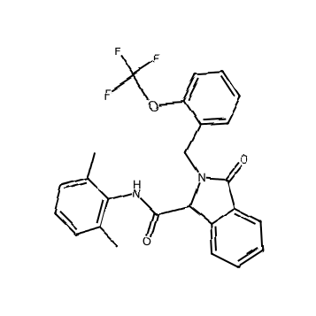 Cc1cccc(C)c1NC(=O)C1c2ccccc2C(=O)N1Cc1ccccc1OC(F)(F)F